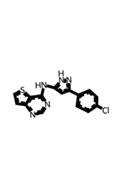 Clc1ccc(-c2cc(Nc3ncnc4ccsc34)[nH]n2)cc1